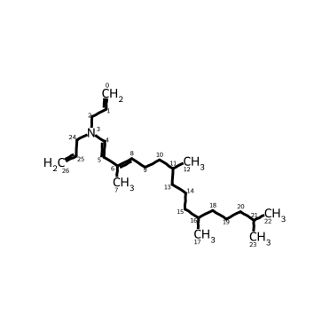 C=CCN(C=CC(C)=CCCC(C)CCCC(C)CCCC(C)C)CC=C